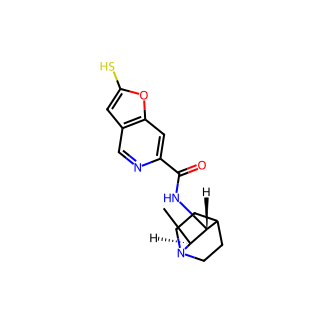 C[C@H]1[C@H](NC(=O)c2cc3oc(S)cc3cn2)C2CCN1CC2